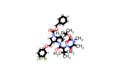 CC(C(=O)NC(C(=O)N1CC=C2C1C(COc1ccc(F)c(F)c1)CN2C(=O)OCc1ccccc1)C(C)(C)C)N(C)C(=O)OC(C)(C)C